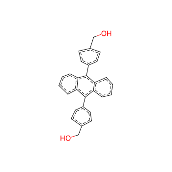 OCc1ccc(-c2c3ccccc3c(-c3ccc(CO)cc3)c3ccccc23)cc1